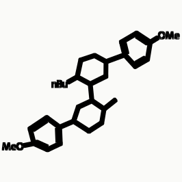 CCCCC1CCC(c2ccc(OC)cc2)CC1C1CC(c2ccc(OC)cc2)CCC1C